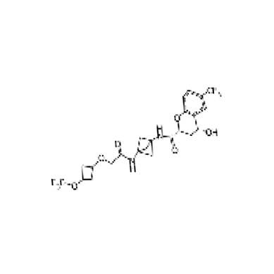 O=C(COC1CC(OC(F)(F)F)C1)NC12CC(NC(=O)[C@H]3C[C@@H](O)c4cc(C(F)(F)F)ccc4O3)(C1)C2